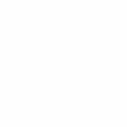 COc1ccc2ccc(=O)n(Cc3cccnc3)c2c1-c1c(C)noc1C